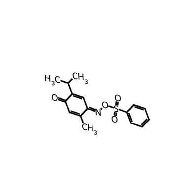 CC1=CC(=O)C(C(C)C)=C/C1=N\OS(=O)(=O)c1ccccc1